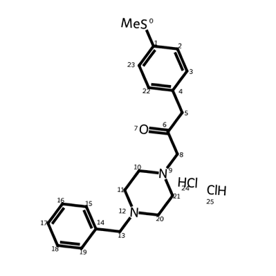 CSc1ccc(CC(=O)CN2CCN(Cc3ccccc3)CC2)cc1.Cl.Cl